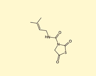 CC(C)=CCNC(=O)N1CC(=O)SC1=O